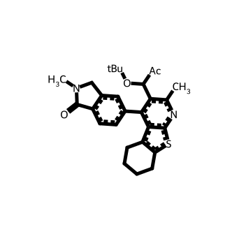 CC(=O)C(OC(C)(C)C)c1c(C)nc2sc3c(c2c1-c1ccc2c(c1)CN(C)C2=O)CCCC3